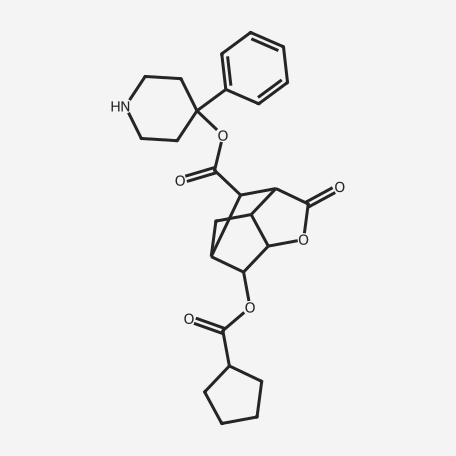 O=C(OC1C2CC3C1OC(=O)C3C2C(=O)OC1(c2ccccc2)CCNCC1)C1CCCC1